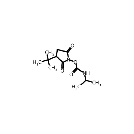 CC(C)NC(=O)ON1C(=O)CC(C(C)(C)C)C1=O